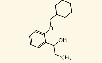 CCC(O)c1ccccc1OCC1CCCCC1